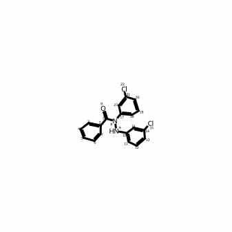 O=C(c1ccccc1)N(Nc1cccc(Cl)c1)c1cccc(Cl)c1